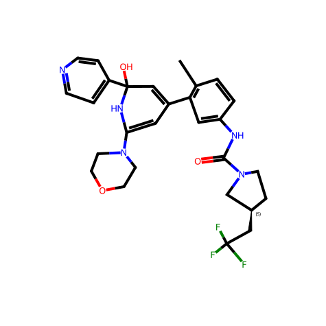 Cc1ccc(NC(=O)N2CC[C@@H](CC(F)(F)F)C2)cc1C1=CC(O)(c2ccncc2)NC(N2CCOCC2)=C1